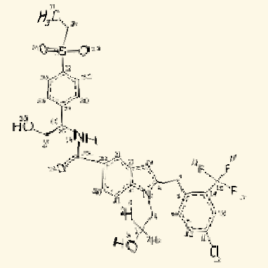 [2H]C([2H])(O)Cn1c(Cc2ccc(Cl)cc2C(F)(F)F)cc2cc(C(=O)N[C@@H](CO)c3ccc(S(=O)(=O)CC)cc3)ccc21